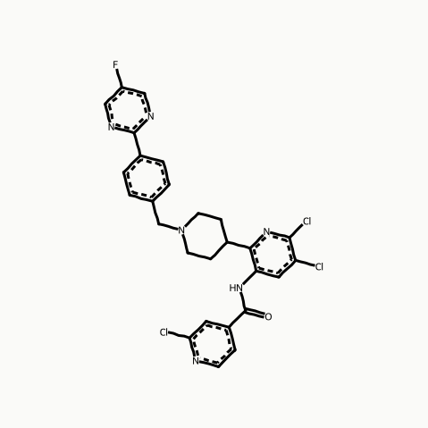 O=C(Nc1cc(Cl)c(Cl)nc1C1CCN(Cc2ccc(-c3ncc(F)cn3)cc2)CC1)c1ccnc(Cl)c1